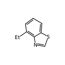 [CH2]Cc1cccc2scnc12